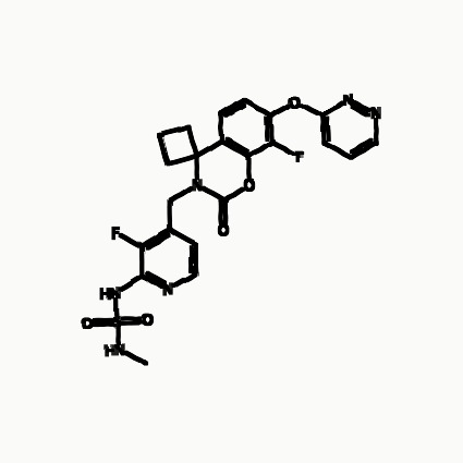 CNS(=O)(=O)Nc1nccc(CN2C(=O)Oc3c(ccc(Oc4cccnn4)c3F)C23CCC3)c1F